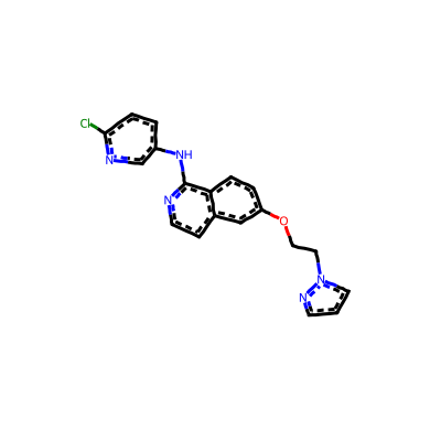 Clc1ccc(Nc2nccc3cc(OCCn4cccn4)ccc23)cn1